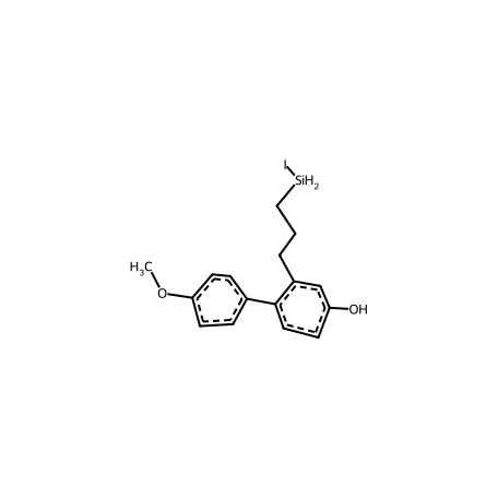 COc1ccc(-c2ccc(O)cc2CCC[SiH2]I)cc1